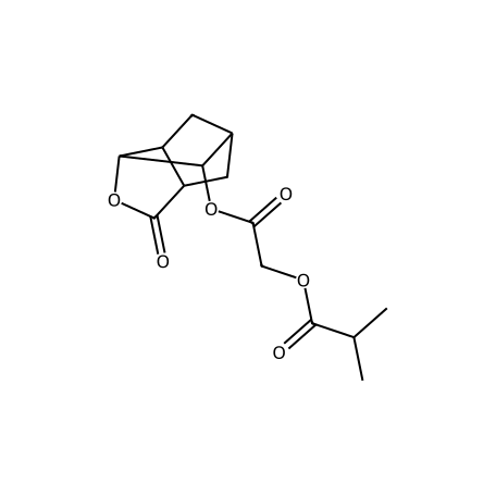 CC(C)C(=O)OCC(=O)OC1C2CC3C(=O)OC1C3C2